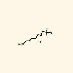 CCCCCCCCCCCCCCCC(N)(CC)CC.Cl